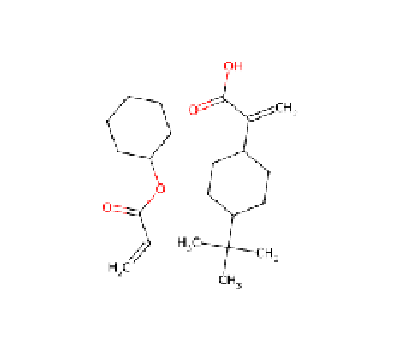 C=C(C(=O)O)C1CCC(C(C)(C)C)CC1.C=CC(=O)OC1CCCCC1